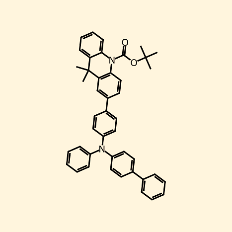 CC(C)(C)OC(=O)N1c2ccccc2C(C)(C)c2cc(-c3ccc(N(c4ccccc4)c4ccc(-c5ccccc5)cc4)cc3)ccc21